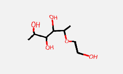 CC(O)C(O)C(O)C(C)OCCO